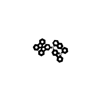 C1=C2C(=CCC1N(C1=c3ccccc3=CCC1)c1ccc3c4ccccc4n(-c4ccccc4)c3c1)C1(c3ccccc32)c2ccccc2-c2ccccc21